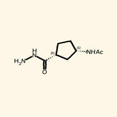 CC(=O)N[C@H]1CC[C@@H](C(=O)NN)C1